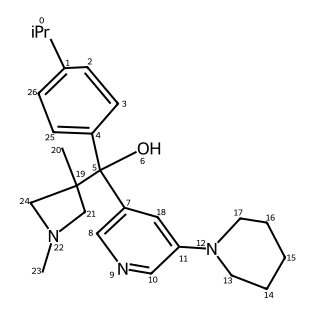 CC(C)c1ccc(C(O)(c2cncc(N3CCCCC3)c2)C2(C)CN(C)C2)cc1